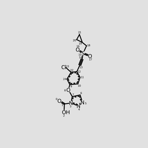 O=C(O)n1nncc1Oc1ccc(C#CS(=O)(=O)CC2CC2)c(Cl)c1